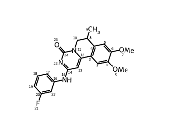 COc1cc2c(cc1OC)C(C)Cn1c-2cc(Nc2cccc(F)c2)nc1=O